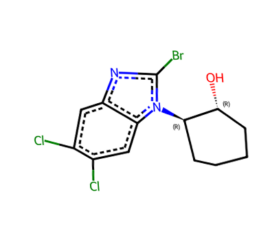 O[C@@H]1CCCC[C@H]1n1c(Br)nc2cc(Cl)c(Cl)cc21